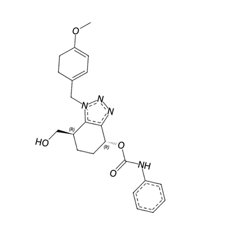 COC1=CC=C(Cn2nnc3c2[C@H](CO)CC[C@H]3OC(=O)Nc2ccccc2)CC1